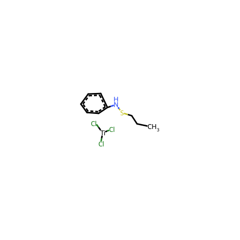 CCCSNc1ccccc1.[Cl][Ti]([Cl])[Cl]